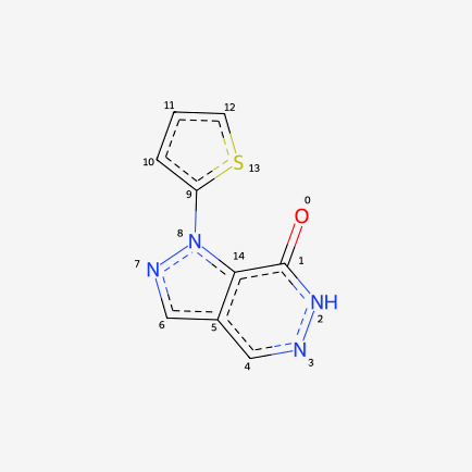 O=c1[nH]ncc2cnn(-c3cccs3)c12